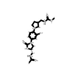 COC(=O)NCC1CCN(c2ccc(N3C[C@H](CNC(C)=O)OC3=O)cc2F)C1